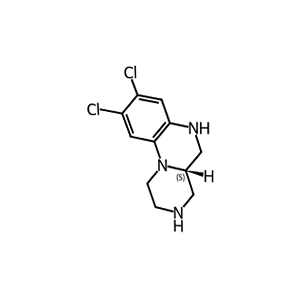 Clc1cc2c(cc1Cl)N1CCNC[C@H]1CN2